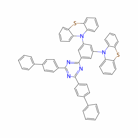 c1ccc(-c2ccc(-c3nc(-c4ccc(-c5ccccc5)cc4)nc(-c4cc(N5c6ccccc6Sc6ccccc65)cc(N5c6ccccc6Sc6ccccc65)c4)n3)cc2)cc1